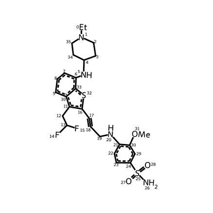 CCN1CCC(Nc2cccc3c(CC(F)F)c(C#CCNc4ccc(S(N)(=O)=O)cc4OC)sc23)CC1